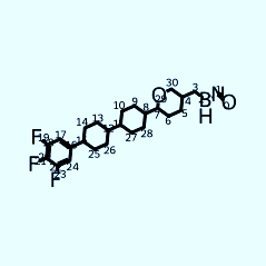 O=NBCC1CCC(C2CCC(C3CCC(c4cc(F)c(F)c(F)c4)CC3)CC2)OC1